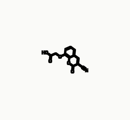 N#Cc1cc2cccc(OCC(=O)O)c2oc1=O